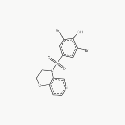 O=S(=O)(c1cc(Br)c(O)c(Br)c1)N1CCOc2ccncc21